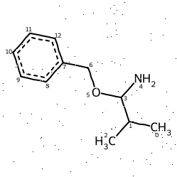 C[C](C)C(N)OCc1ccccc1